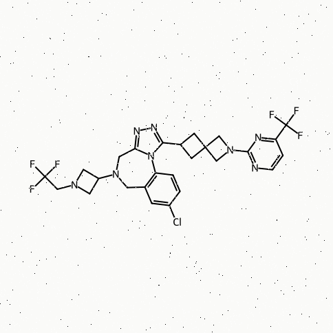 FC(F)(F)CN1CC(N2Cc3cc(Cl)ccc3-n3c(nnc3C3CC4(C3)CN(c3nccc(C(F)(F)F)n3)C4)C2)C1